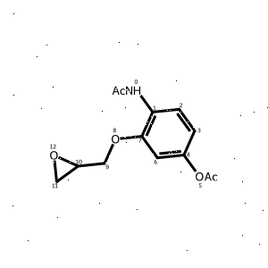 CC(=O)Nc1ccc(OC(C)=O)cc1OCC1CO1